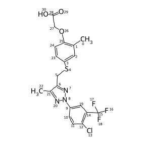 Cc1cc(SCc2nn(-c3ccc(Cl)c(C(F)(F)F)c3)nc2C)ccc1OCC(=O)O